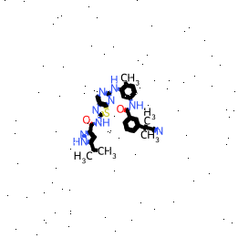 Cc1ccc(NC(=O)c2cccc(C(C)(C)C#N)c2)cc1Nc1ncc2nc(NC(=O)c3cc(C(C)C)[nH]n3)sc2n1